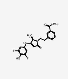 C=C1C(Nc2cc(F)c(O)c(F)c2)=CC(=O)N1CCc1cccc(C(=O)OC)c1